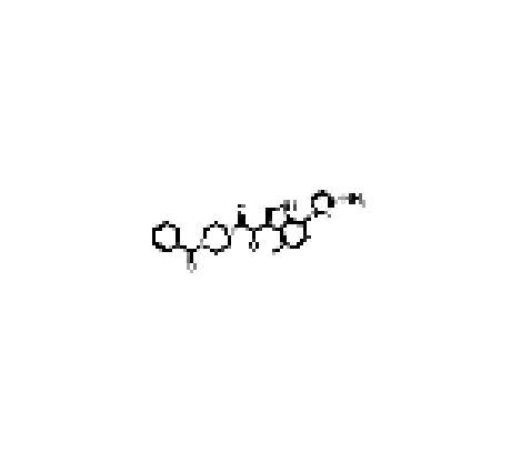 Nc1ccn(-c2ncc(F)c3c(C(=O)C(=O)N4CCN(C(=O)c5ccccc5)CC4)c[nH]c23)n1